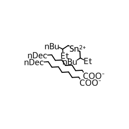 CCCCC(CC)[CH2][Sn+2][CH2]C(CC)CCCC.CCCCCCCCCCCCCCCCCC(=O)[O-].CCCCCCCCCCCCCCCCCC(=O)[O-]